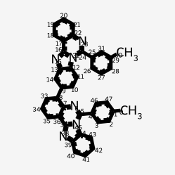 Cc1ccc(-c2nc3c(-c4ccc5c(c4)nc4c6ccccc6nc(-c6cccc(C)c6)n54)cccc3c3nc4ccccc4n23)cc1